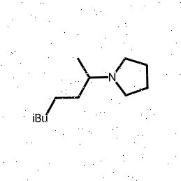 CCC(C)CCC(C)N1CCCC1